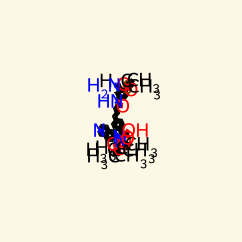 CC(C)(C)OC(=O)N(OC(C)(C)C)N(c1ccc2cnccc2c1)C(C(=O)O)c1ccc(CCCC(=O)Nc2ccc(S(=O)(=O)C(C)(C)C)c(CN)c2)cc1